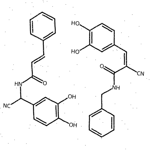 N#CC(=Cc1ccc(O)c(O)c1)C(=O)NCc1ccccc1.N#CC(NC(=O)C=Cc1ccccc1)c1ccc(O)c(O)c1